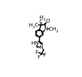 CN1C(=O)C(C)(C)c2ccc(C3=CN(CC(F)(F)F)CN3)cc21